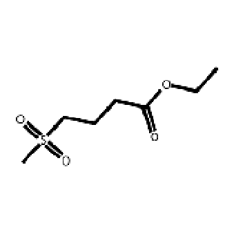 CCOC(=O)CCCS(C)(=O)=O